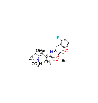 CO[C@@H](C1CC2CC2N1C(=O)O)[C@H](C)C(=C=O)N=C(Cc1ccccc1F)C(=C=O)OC(C)(C)C